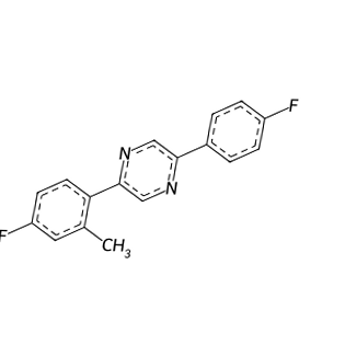 Cc1cc(F)ccc1-c1cnc(-c2ccc(F)cc2)cn1